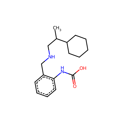 CC(CNCc1ccccc1NC(=O)O)C1CCCCC1